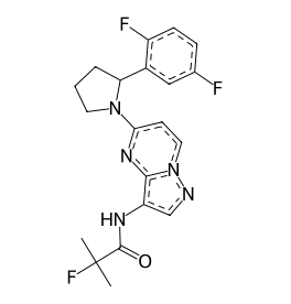 CC(C)(F)C(=O)Nc1cnn2ccc(N3CCCC3c3cc(F)ccc3F)nc12